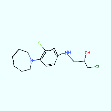 O[C@@H](CCl)CNc1ccc(N2CCCCCC2)c(F)c1